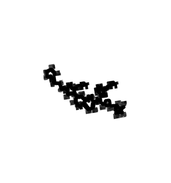 CCCc1nn(CCCN2CCCC2)cc1-c1cnc2ccc(N(COCC[Si](C)(C)C)c3nnc(C(C)C)s3)nc2c1